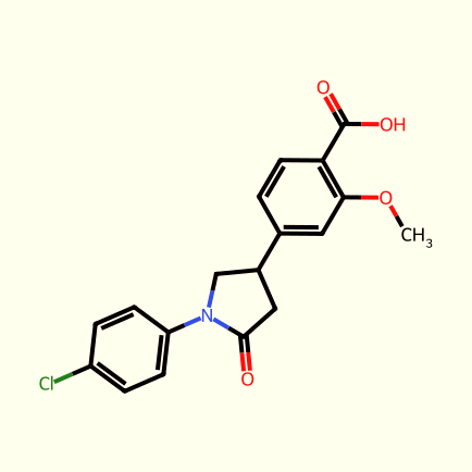 COc1cc(C2CC(=O)N(c3ccc(Cl)cc3)C2)ccc1C(=O)O